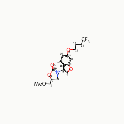 COCC1CN(c2coc3cc(OCCCC(F)(F)F)ccc23)C(=O)O1